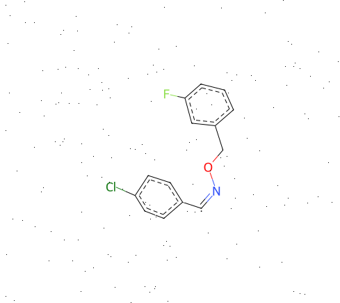 Fc1cccc(CO/N=[C]\c2ccc(Cl)cc2)c1